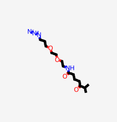 CC(C)C(=O)CCCC(=O)NCCOCCOCCCN=[N+]=[N-]